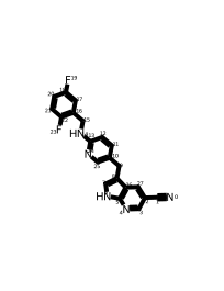 N#Cc1cnc2[nH]cc(Cc3ccc(NCc4cc(F)ccc4F)nc3)c2c1